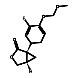 COCOC1=CCC([C@]23C[C@H]2COC3=O)C=C1F